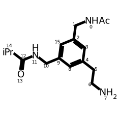 CC(=O)NCc1cc(CCN)cc(CNC(=O)C(C)C)c1